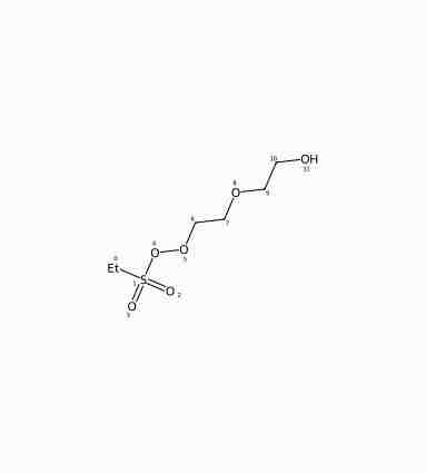 CCS(=O)(=O)OOCCOCCO